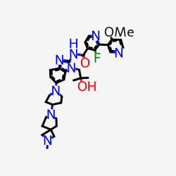 COc1ccncc1-c1nccc(C(=O)Nc2nc3ccc(N4CCC(N5CCC6(CC5)CN(C)C6)CC4)cc3n2CC(C)(C)O)c1F